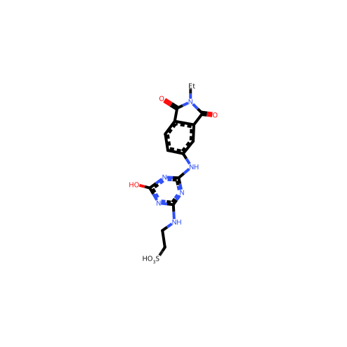 CCN1C(=O)c2ccc(Nc3nc(O)nc(NCCS(=O)(=O)O)n3)cc2C1=O